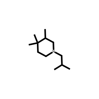 CC(C)CN1CCC(C)(C)C(C)C1